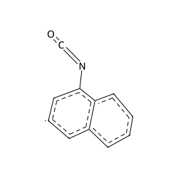 O=C=Nc1c[c]cc2ccccc12